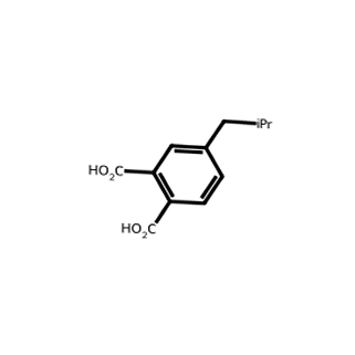 CC(C)Cc1ccc(C(=O)O)c(C(=O)O)c1